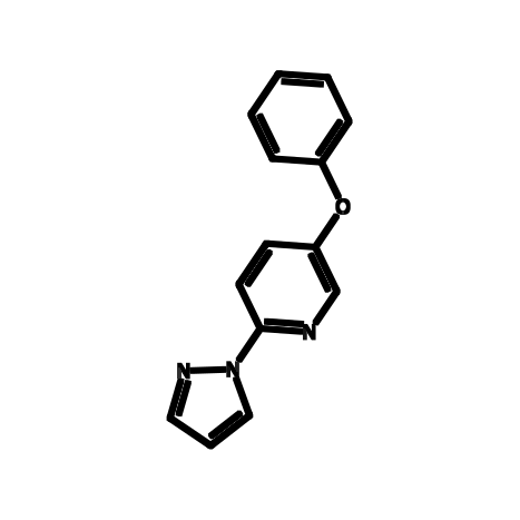 c1ccc(Oc2ccc(-n3cccn3)nc2)cc1